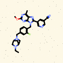 CCN1CC2CC1CN2Cc1ccc(Cn2c(-c3cncc(C#N)c3)nc3c(C)nc(OC)nc32)c(F)c1